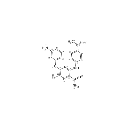 CCCN(C)c1ccc(Nc2nc(Oc3cccc(N)c3)c(CC)nc2C(N)=O)cc1